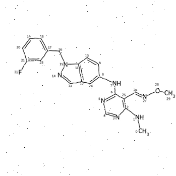 CNc1ncnc(Nc2ccc3c(cnn3Cc3cccc(F)c3)c2)c1/C=N/OC